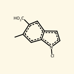 Cc1cc2c(ccn2Cl)cc1C(=O)O